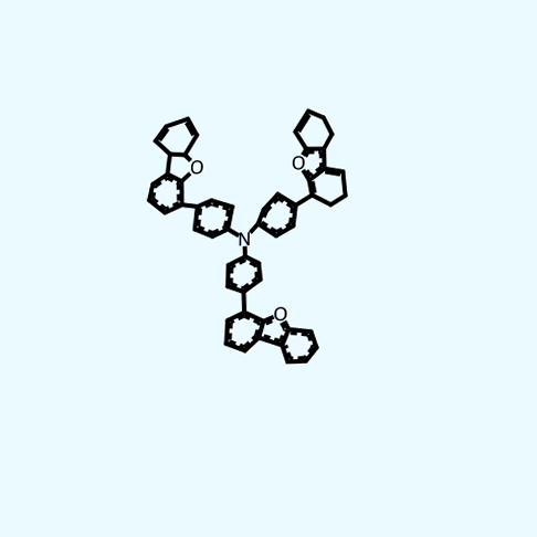 C1=CC2Oc3c(-c4ccc(N(c5ccc(C6=c7oc8c(c7=CCC6)CCC=C8)cc5)c5ccc(-c6cccc7c6oc6ccccc67)cc5)cc4)cccc3C2C=C1